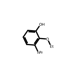 CCCc1cccc(O)c1OCC